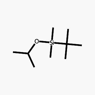 CC(C)O[Si](C)(C)C(C)(C)C